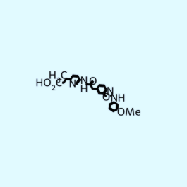 COc1cccc(Nc2nc3ccc(CC(=O)CNc4ccc(C(C)CC(=O)O)nc4)cc3o2)c1